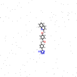 O=C(Cc1ccc(-c2nnn[nH]2)cc1)c1ccc(OCc2ccc3ccccc3n2)cc1